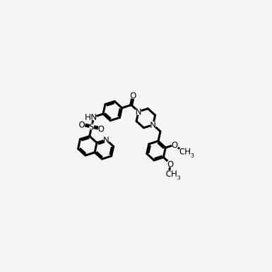 COc1cccc(CN2CCN(C(=O)c3ccc(NS(=O)(=O)c4cccc5cccnc45)cc3)CC2)c1OC